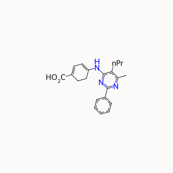 CCCc1c(C)nc(-c2ccccc2)nc1NC1=CC=C(C(=O)O)CC1